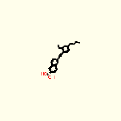 CCCCc1ccc(C#Cc2ccc3cc(B(O)O)ccc3c2)c(CC)c1